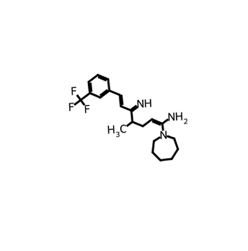 CC(C/C=C(/N)N1CCCCCC1)C(=N)/C=C/c1cccc(C(F)(F)F)c1